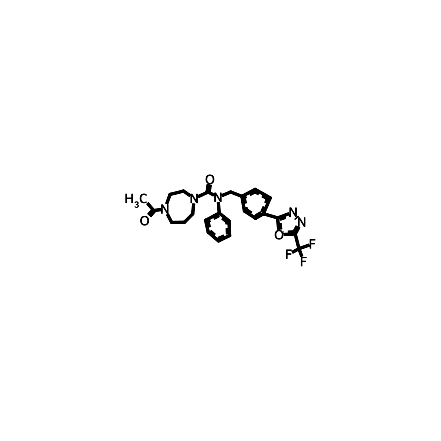 CC(=O)N1CCCN(C(=O)N(Cc2ccc(-c3nnc(C(F)(F)F)o3)cc2)c2ccccc2)CC1